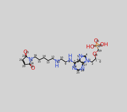 C[C@H](Cn1cnc2c(NCCNCCCCCN3C(=O)C=CC3=O)ncnc21)OCP(=O)(O)O